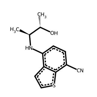 C[C@H](O)[C@H](C)Nc1ccc(C#N)c2sccc12